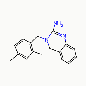 Cc1ccc(CN2Cc3ccccc3N=C2N)c(C)c1